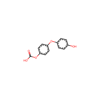 O=C(O)Oc1ccc(Oc2ccc(O)cc2)cc1